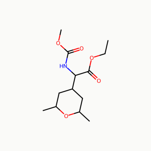 CCOC(=O)C(NC(=O)OC)C1CC(C)OC(C)C1